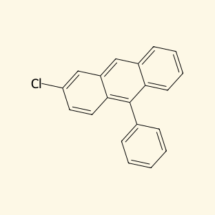 Clc1ccc2c(-c3ccccc3)c3ccccc3cc2c1